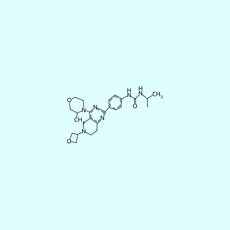 CC(I)NC(=O)Nc1ccc(-c2nc3c(c(N4CCOCC4C)n2)CN(C2COC2)CC3)cc1